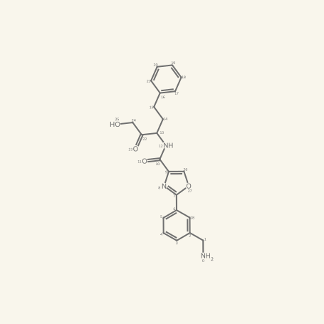 NCc1cccc(-c2nc(C(=O)NC(CCc3ccccc3)C(=O)CO)co2)c1